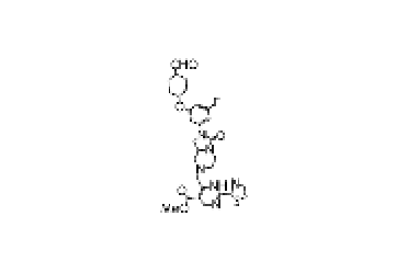 COC(=O)C1=C(CN2CCN3C(=O)N(c4cc(F)cc(OC5CCC(C=O)CC5)c4)CC3C2)NC(c2nccs2)=NC1